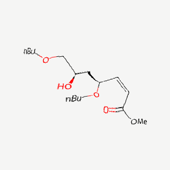 CCCCOC[C@H](O)C[C@@H](/C=C\C(=O)OC)OCCCC